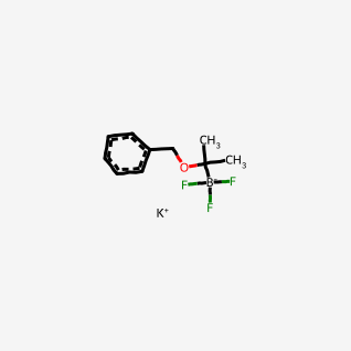 CC(C)(OCc1ccccc1)[B-](F)(F)F.[K+]